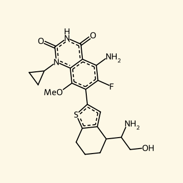 COc1c(-c2cc3c(s2)CCCC3C(N)CO)c(F)c(N)c2c(=O)[nH]c(=O)n(C3CC3)c12